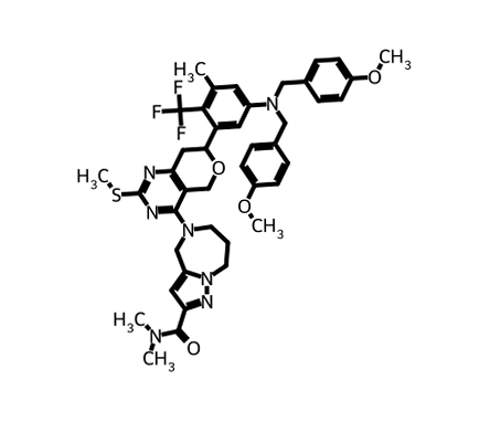 COc1ccc(CN(Cc2ccc(OC)cc2)c2cc(C)c(C(F)(F)F)c(C3Cc4nc(SC)nc(N5CCCn6nc(C(=O)N(C)C)cc6C5)c4CO3)c2)cc1